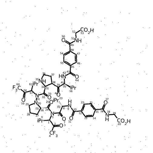 CC(C)C(C(=O)C(F)(F)F)N(C(=O)[C@@H](NC(=O)c1ccc(C(=O)NCC(=O)O)cc1)C(C)C)C(=O)[C@@H]1CCCN1N(C(=O)[C@H]1NCCC1C(=O)[C@@H](NC(=O)c1ccc(C(=O)NCC(=O)O)cc1)C(C)C)C(C(=O)C(F)(F)F)C(C)C